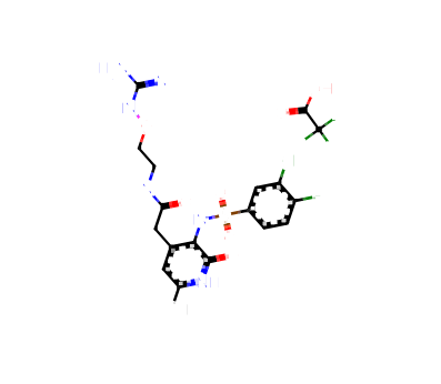 Cc1cc(CC(=O)NCCONC(=N)N)c(NS(=O)(=O)c2ccc(F)c(Cl)c2)c(=O)[nH]1.O=C(O)C(F)(F)F